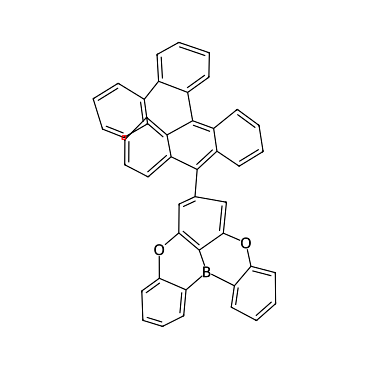 c1ccc(-c2ccccc2-c2c3ccccc3c(-c3cc4c5c(c3)Oc3ccccc3B5c3ccccc3O4)c3ccccc23)cc1